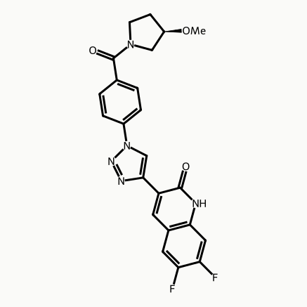 CO[C@@H]1CCN(C(=O)c2ccc(-n3cc(-c4cc5cc(F)c(F)cc5[nH]c4=O)nn3)cc2)C1